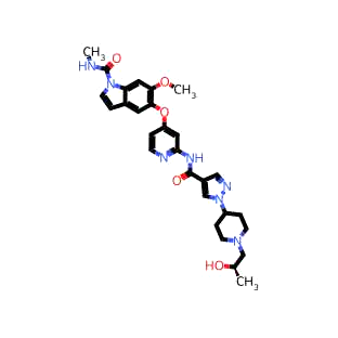 CNC(=O)n1ccc2cc(Oc3ccnc(NC(=O)c4cnn(C5CCN(C[C@@H](C)O)CC5)c4)c3)c(OC)cc21